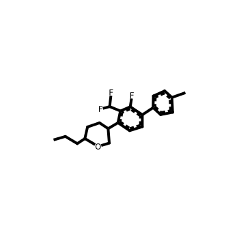 CCCC1CCC(c2ccc(-c3ccc(C)cc3)c(F)c2C(F)F)CO1